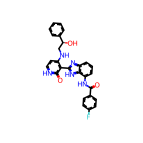 O=C(Nc1cccc2nc(-c3c(NC[C@H](O)c4ccccc4)cc[nH]c3=O)[nH]c12)c1ccc(F)cc1